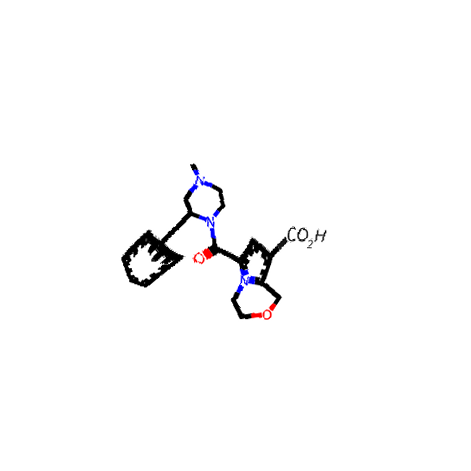 CN1CCN(C(=O)c2cc(C(=O)O)c3n2CCOC3)C(c2ccccc2)C1